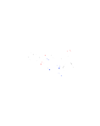 Cc1ccc(S(=O)(=O)n2ccc3c2ncc2ncc([C@H]4CC(=O)C[C@H]4C)n23)cc1